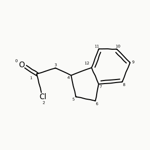 O=C(Cl)CC1CCc2ccccc21